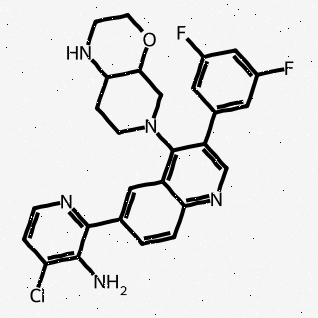 Nc1c(Cl)ccnc1-c1ccc2ncc(-c3cc(F)cc(F)c3)c(N3CCC4NCCOC4C3)c2c1